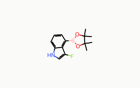 CC1(C)OB(c2cccc3[nH]cc(F)c23)OC1(C)C